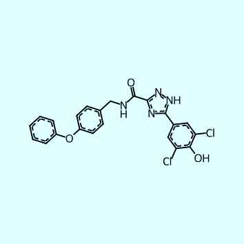 O=C(NCc1ccc(Oc2ccccc2)cc1)c1n[nH]c(-c2cc(Cl)c(O)c(Cl)c2)n1